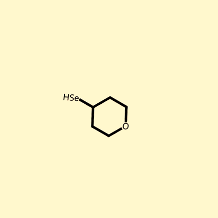 [SeH]C1CCOCC1